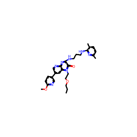 CCCOCCn1c(=O)c(NCCCNc2nc(C)ccc2C)nc2ncc(-c3ccc(OC)nc3)cc21